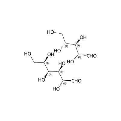 O=C[C@@H](O)[C@H](O)[C@@H](O)[C@H](O)CO.O=C[C@H](O)[C@H](O)[C@H](O)CO